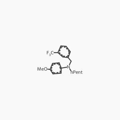 CCCCCN(Cc1cccc(C(F)(F)F)c1)c1ccc(OC)cc1